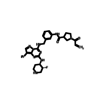 C=CC(=O)N1CCC(C(=O)Nc2cccc(CNc3nc(N[C@@H]4CCNC[C@H]4F)nc4c(C(C)C)cnn34)c2)C1